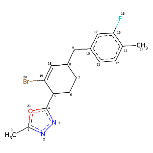 Cc1nnc(C2CCC(Cc3ccc(C)c(F)c3)C=C2Br)o1